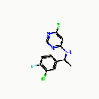 CC(Nc1cc(Cl)ncn1)c1ccc(F)c(Cl)c1